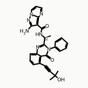 C[C@H](NC(=O)c1c(N)nn2cccnc12)c1nc2cccc(C#CC(C)(C)O)c2c(=O)n1-c1ccccc1